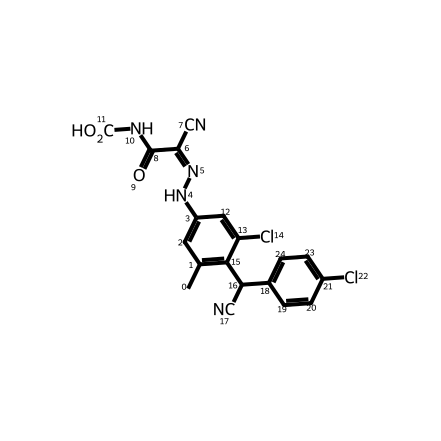 Cc1cc(NN=C(C#N)C(=O)NC(=O)O)cc(Cl)c1C(C#N)c1ccc(Cl)cc1